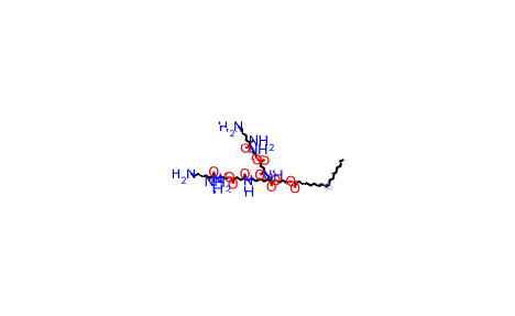 CCCCCCCC/C=C\CCCCCCCC(=O)OCCCOC(=O)C(CCCCNC(=O)CCC(=O)OCCNC(=O)C(N)CCCCN)NC(=O)CCC(=O)OCCNC(=O)C(N)CCCCN